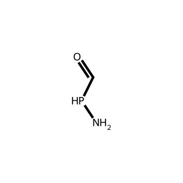 NPC=O